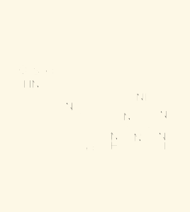 COc1cc(N2CCC(NS(C)(=O)=O)CC2)ccc1Nc1nc(NC2CCCCC2)c2nc[nH]c2n1